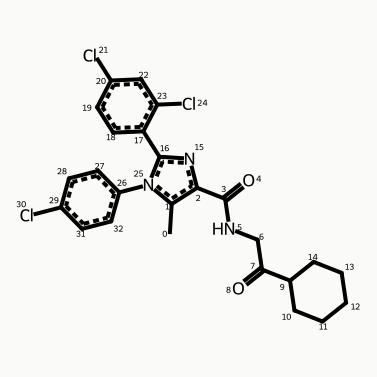 Cc1c(C(=O)NCC(=O)C2CCCCC2)nc(-c2ccc(Cl)cc2Cl)n1-c1ccc(Cl)cc1